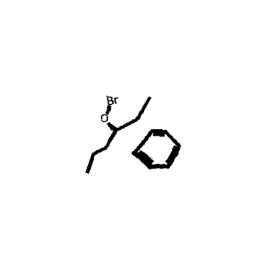 CCCC(CC)OBr.c1ccccc1